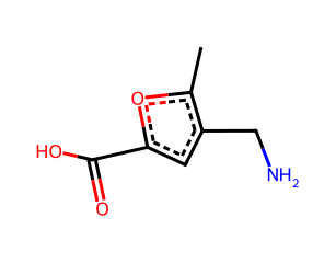 Cc1oc(C(=O)O)cc1CN